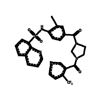 Cc1cc(C(=O)N2CCN(C(=O)c3cnccc3C(F)(F)F)C2)ccc1NS(=O)(=O)c1cccc2cccnc12